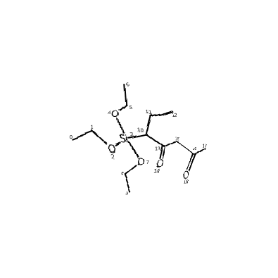 CCO[Si](OCC)(OCC)C(CC)C(=O)CC(C)=O